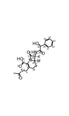 CC(=O)SCC1=C(C(=O)O)N2C(=O)[C@](C)(NC(=O)C(O)c3ccccc3)[C@H]2SC1